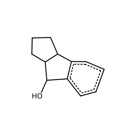 OC1c2ccccc2C2CCCC12